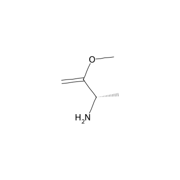 C=C(OC)[C@H](C)N